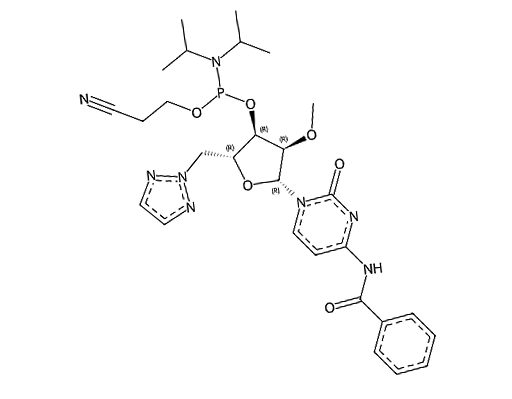 CO[C@@H]1[C@H](OP(OCCC#N)N(C(C)C)C(C)C)[C@@H](Cn2nccn2)O[C@H]1n1ccc(NC(=O)c2ccccc2)nc1=O